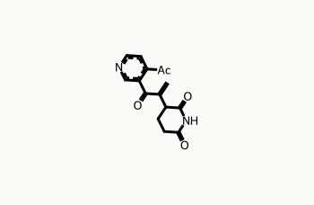 C=C(C(=O)c1cnccc1C(C)=O)C1CCC(=O)NC1=O